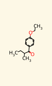 CCOc1ccc(C(=O)C(C)CC)cc1